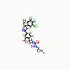 CCNC(=O)N1CC2(C1)OCc1cc(C3=NSC(C)(c4cc(Cl)c(F)c(Cl)c4)C3)ccc12